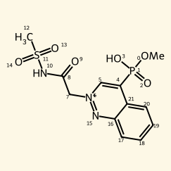 COP(=O)(O)c1c[n+](CC(=O)NS(C)(=O)=O)nc2ccccc12